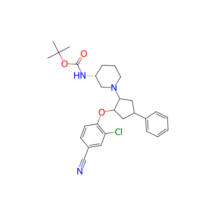 CC(C)(C)OC(=O)N[C@@H]1CCCN(C2CC(c3ccccc3)CC2Oc2ccc(C#N)cc2Cl)C1